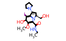 CCNC(=O)C1=C(OC)C(O)C(I)=C2[C@H](N3CCCC3)C[C@@H](CO)N12